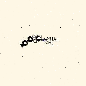 CC(=O)N[C@@H](C)/C=C/c1ccc(Oc2ccc(C3=CCC4(CC3)CC4)cc2Cl)cn1